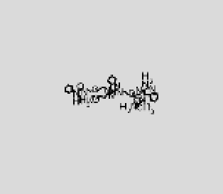 COCCc1nc2c(NCCOCc3nc4c(N)nc5ccccc5c4n3CC(C)(C)N)nc3ccccc3c2n1CCOCCNC(=O)Nc1ccccc1